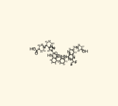 O=C(Nc1cccc(-c2cccc(Nc3nc(C(F)F)nc4cc(CN5CC[C@@H](O)C5)cnc34)c2Cl)c1Cl)c1cc2n(n1)CCCC2N1CCC(C(=O)O)CC1